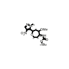 COC1CC(c2c([N+](=O)[O-])cnn2C)OCCC1NC(=O)OC(C)(C)C